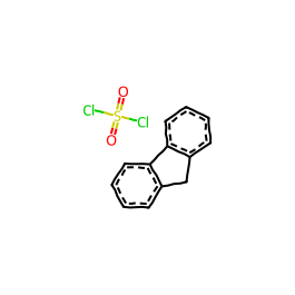 O=S(=O)(Cl)Cl.c1ccc2c(c1)Cc1ccccc1-2